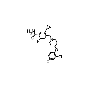 NC(=O)c1cc(C2CC2)c(CN2CCC(Oc3ccc(F)cc3Cl)CC2)cc1F